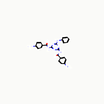 Nc1ccc(C(=O)Nc2nc(NC(=O)c3ccc(N)cc3)nc(Nc3ccccc3)n2)cc1